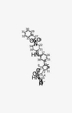 Cc1c(C2C[NH+]([O-])NS2(=O)=O)csc1-c1cccc(NC2CCN(S(=O)(=O)Cc3ccccc3)CC2)c1